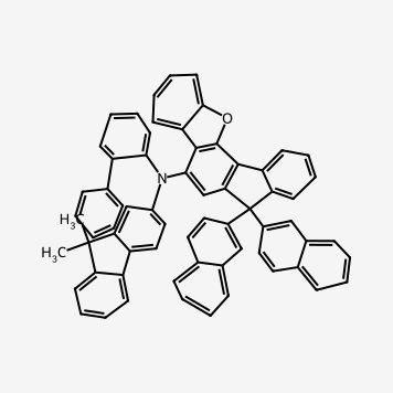 CC1(C)c2ccccc2-c2ccc(N(c3ccccc3-c3ccccc3)c3cc4c(c5oc6ccccc6c35)-c3ccccc3C4(c3ccc4ccccc4c3)c3ccc4ccccc4c3)cc21